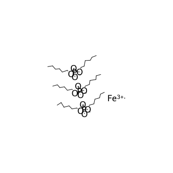 CCCCCCOP(=O)([O-])OCCCCCC.CCCCCCOP(=O)([O-])OCCCCCC.CCCCCCOP(=O)([O-])OCCCCCC.[Fe+3]